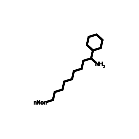 CCCCCCCCCCCCCCCCCC(N)C1CCCCC1